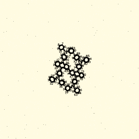 c1ccc(N(c2ccccc2)c2ccc(-c3c4ccccc4c(-c4ccc(N(c5ccccc5)c5ccccc5)cc4)c4cc(-c5ccc6c(-c7ccc(N(c8ccccc8)c8ccccc8)cc7)c7ccccc7c(-c7ccc(N(c8ccccc8)c8ccccc8)cc7)c6c5)ccc34)cc2)cc1